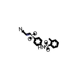 Cc1ccccc1S(=O)(=O)Nc1ccc(S(=O)(=O)/C=C/C#N)cc1